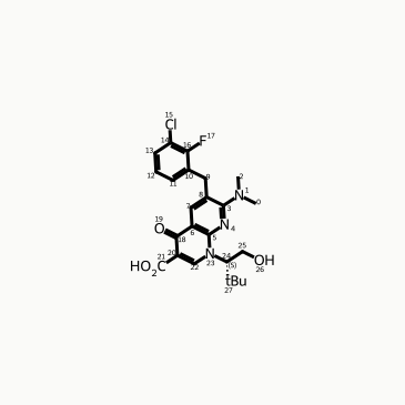 CN(C)c1nc2c(cc1Cc1cccc(Cl)c1F)c(=O)c(C(=O)O)cn2[C@H](CO)C(C)(C)C